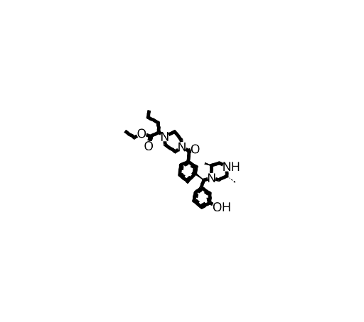 CCCC(C(=O)OCC)N1CCN(C(=O)c2cccc([C@H](c3cccc(O)c3)N3C[C@@H](C)NC[C@@H]3C)c2)CC1